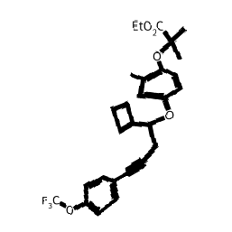 CCOC(=O)C(C)(C)Oc1ccc(OC(CC#Cc2ccc(OC(F)(F)F)cc2)C2CCC2)cc1C